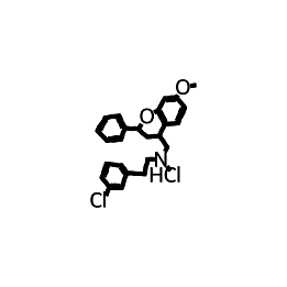 COc1ccc2c(c1)OC(c1ccccc1)CC2CN(C)CCc1cccc(Cl)c1.Cl